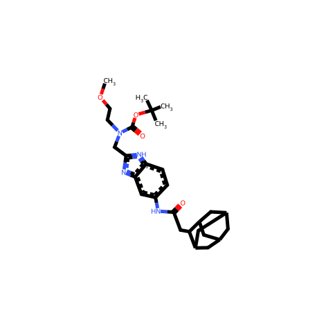 COCCN(Cc1nc2cc(NC(=O)CC3C4CC5CC(C4)CC3C5)ccc2[nH]1)C(=O)OC(C)(C)C